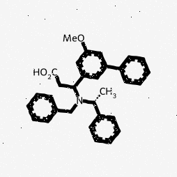 COc1cc(-c2ccccc2)cc(C(CC(=O)O)N(Cc2ccccc2)[C@H](C)c2ccccc2)c1